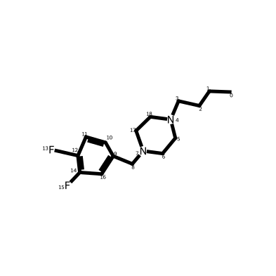 CCCCN1CCN(Cc2ccc(F)c(F)c2)CC1